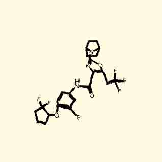 O=C(Nc1ccc(OC2CCCC2(F)F)c(F)c1)c1nc(N2C3CCC2CC3)oc1CC(F)(F)F